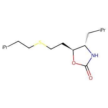 CC(C)CCSCC[C@@H]1OC(=O)N[C@H]1CC(C)C